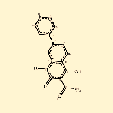 CCn1c(=O)c(C(N)=O)c(O)c2ccc(-c3ccncc3)cc21